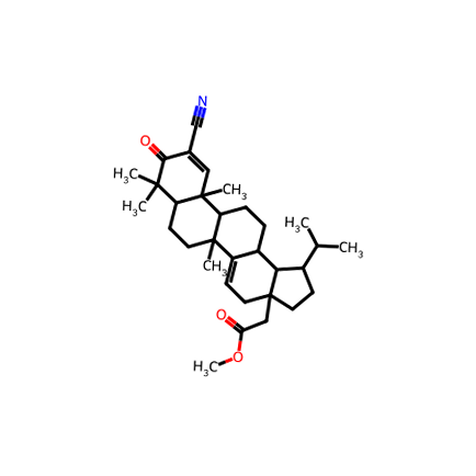 COC(=O)CC12CC=C3C(CCC4C3(C)CCC3C(C)(C)C(=O)C(C#N)=CC34C)C1C(C(C)C)CC2